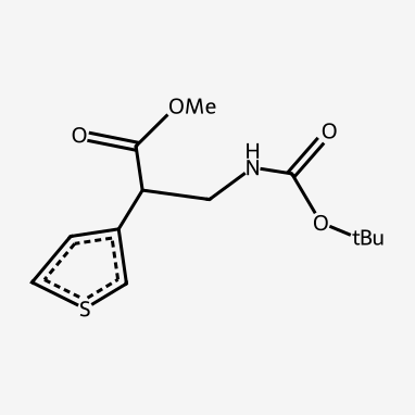 COC(=O)C(CNC(=O)OC(C)(C)C)c1ccsc1